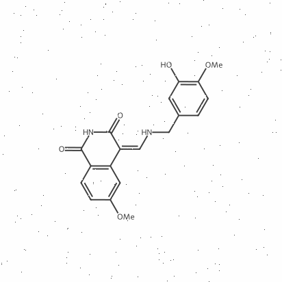 COc1ccc2c(c1)C(=CNCc1ccc(OC)c(O)c1)C(=O)NC2=O